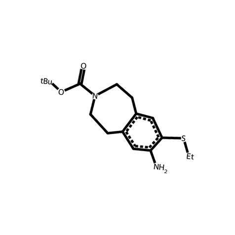 CCSc1cc2c(cc1N)CCN(C(=O)OC(C)(C)C)CC2